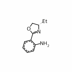 CC[C@H]1COC(c2ccccc2N)=N1